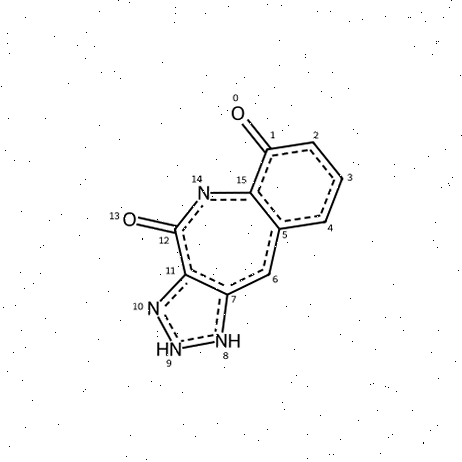 O=c1cccc2cc3[nH][nH]nc3c(=O)nc12